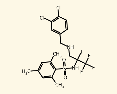 Cc1cc(C)c(S(=O)(=O)NC(I)(CNCc2ccc(Cl)c(Cl)c2)C(F)(F)F)c(C)c1